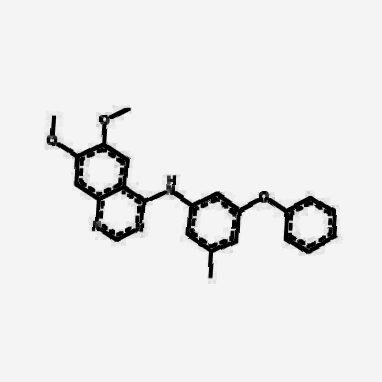 COc1cc2ncnc(Nc3cc(C)cc(Oc4ccccc4)c3)c2cc1OC